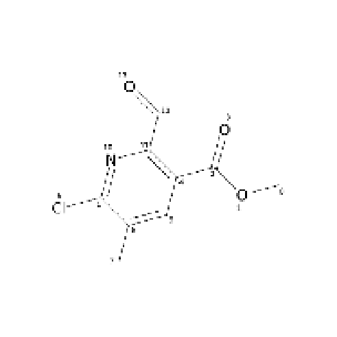 COC(=O)c1cc(C)c(Cl)nc1C=O